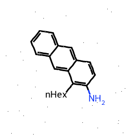 CCCCCCc1c(N)ccc2cc3ccccc3cc12